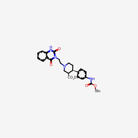 CCOC(=O)[C@H]1CN(CCn2c(=O)[nH]c3ccccc3c2=O)CC[C@H]1c1ccc(NC(=O)OC(C)(C)C)cc1